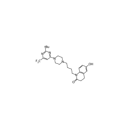 CC(C)(C)c1nc(N2CCN(CCCCN3C(=O)CCc4cc(O)ccc43)CC2)cc(C(F)(F)F)n1